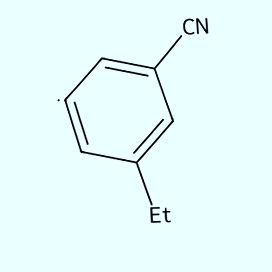 CCc1c[c]cc(C#N)c1